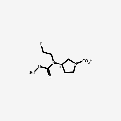 CC(C)(C)OC(=O)N(CCF)[C@@H]1CCN(C(=O)O)C1